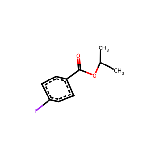 CC(C)OC(=O)c1ccc(I)cc1